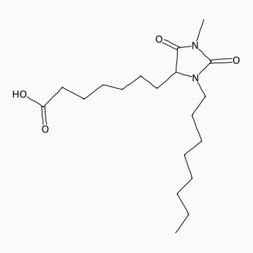 CCCCCCCCN1C(=O)N(C)C(=O)C1CCCCCCC(=O)O